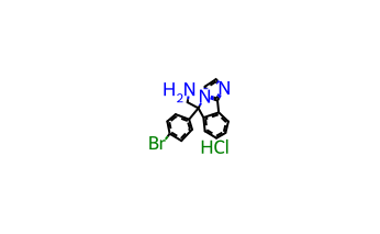 Cl.NCC1(c2ccc(Br)cc2)c2ccccc2-c2nccn21